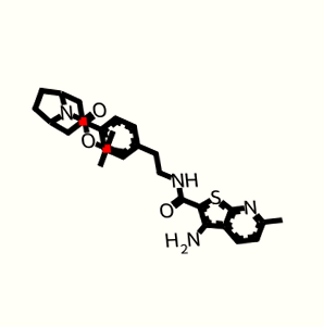 Cc1ccc2c(N)c(C(=O)NCCc3ccc(C4CC5CCC(C4)N5C(=O)OC(C)(C)C)cc3)sc2n1